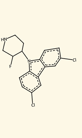 FC1CNCCC1n1c2ccc(Cl)cc2c2cc(Cl)ccc21